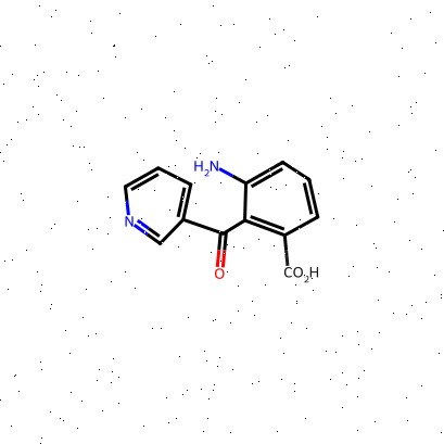 Nc1cccc(C(=O)O)c1C(=O)c1cccnc1